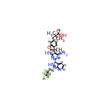 CC(C)(Cc1ccc(C2(C)C(=O)Nc3nc([C@H]4NN(CCC(F)(F)C(F)(F)F)c5ncccc54)nc(N)c32)cc1)C(=O)O